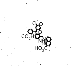 Nc1ccc2c(-c3ccccc3C(=O)O)c3cc(Cl)c(=O)cc-3oc2c1CNc1cccc2ccc(C(=O)O)nc12